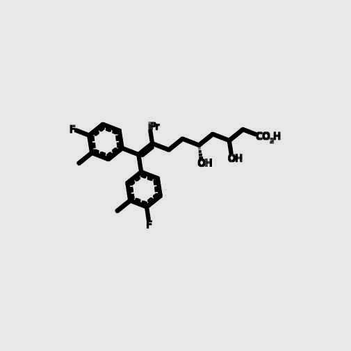 Cc1cc(C(=C(CC[C@@H](O)CC(O)CC(=O)O)C(C)C)c2ccc(F)c(C)c2)ccc1F